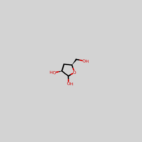 OC[C@@H]1C[C@H](O)C(O)O1